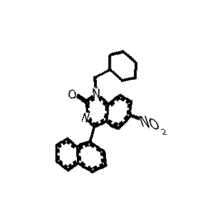 O=c1nc(-c2cccc3ccccc23)c2cc([N+](=O)[O-])ccc2n1CC1CCCCC1